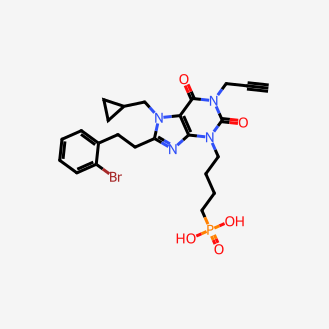 C#CCn1c(=O)c2c(nc(CCc3ccccc3Br)n2CC2CC2)n(CCCCP(=O)(O)O)c1=O